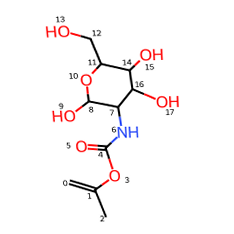 C=C(C)OC(=O)NC1C(O)OC(CO)C(O)C1O